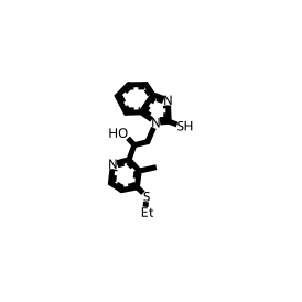 CCSc1ccnc(C(O)Cn2c(S)nc3ccccc32)c1C